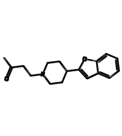 CC(=O)CCN1CCC(c2cc3ccccc3o2)CC1